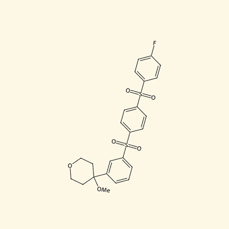 COC1(c2cccc(S(=O)(=O)c3ccc(S(=O)(=O)c4ccc(F)cc4)cc3)c2)CCOCC1